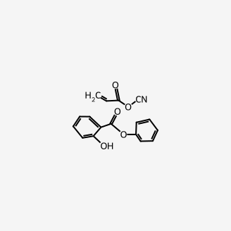 C=CC(=O)OC#N.O=C(Oc1ccccc1)c1ccccc1O